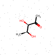 CC(=O)[C@H](O)[C@H](C)O